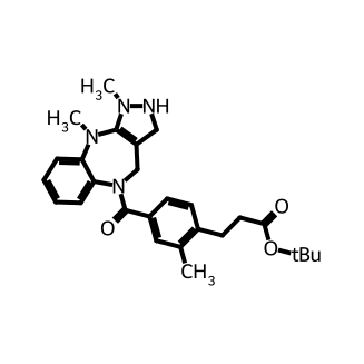 Cc1cc(C(=O)N2CC3=C(N(C)NC3)N(C)c3ccccc32)ccc1CCC(=O)OC(C)(C)C